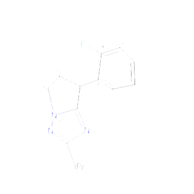 CC(C)c1nc2n(n1)CCC2c1ccccc1F